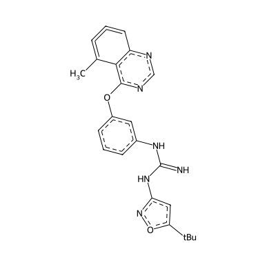 CC1=C=C=Cc2ncnc(Oc3cccc(NC(=N)Nc4cc(C(C)(C)C)on4)c3)c21